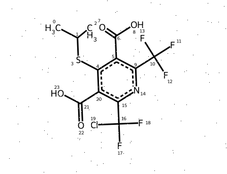 CC(C)Sc1c(C(=O)O)c(C(F)(F)F)nc(C(F)(F)Cl)c1C(=O)O